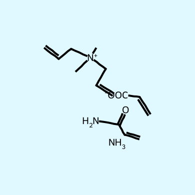 C=CC(=O)[O-].C=CC(N)=O.C=CC[N+](C)(C)CC=C.N